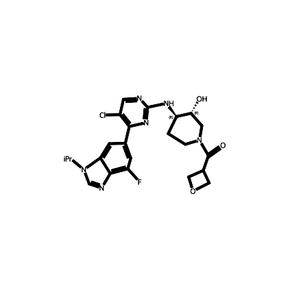 CC(C)n1cnc2c(F)cc(-c3nc(N[C@@H]4CCN(C(=O)C5COC5)C[C@H]4O)ncc3Cl)cc21